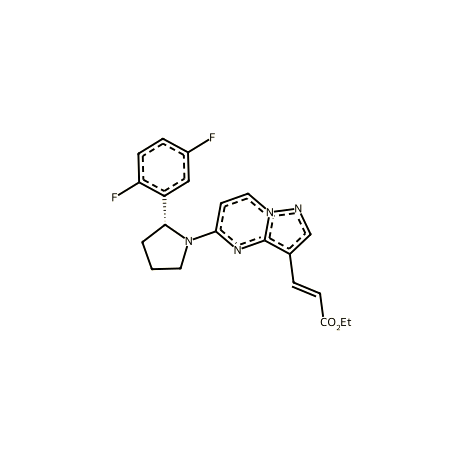 CCOC(=O)/C=C/c1cnn2ccc(N3CCC[C@@H]3c3cc(F)ccc3F)nc12